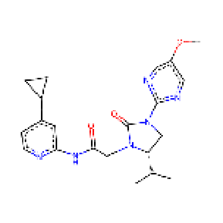 COc1cnc(N2C[C@H](C(C)C)N(CC(=O)Nc3cc(C4CC4)ccn3)C2=O)nc1